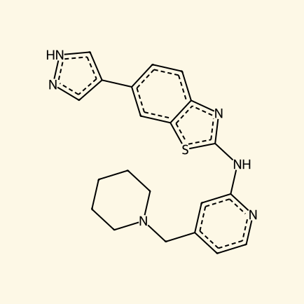 c1cc(CN2CCCCC2)cc(Nc2nc3ccc(-c4cn[nH]c4)cc3s2)n1